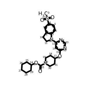 CS(=O)(=O)c1ccc2c(c1)CCN2c1cc(OC2CCN(C(=O)OC3CCCCC3)CC2)ncn1